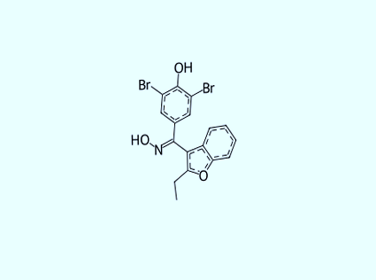 CCc1oc2ccccc2c1/C(=N/O)c1cc(Br)c(O)c(Br)c1